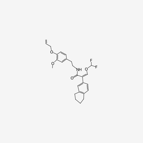 C=CCOc1ccc(CCNC(=O)/C(=C\OC(F)F)c2ccc3c(c2)CCCC3)cc1OC